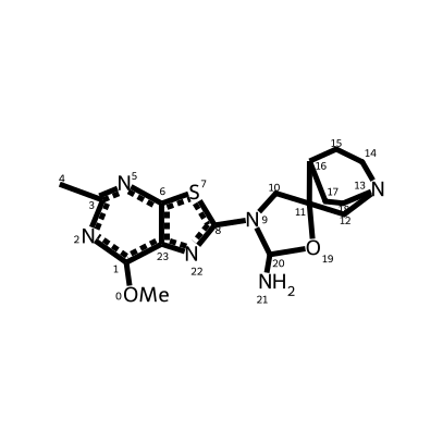 COc1nc(C)nc2sc(N3CC4(CN5CCC4CC5)OC3N)nc12